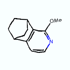 COc1nccc2c1C1CCC2CC1